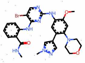 CNC(=O)c1ccccc1Nc1nc(Nc2cc(-c3cnn(C)c3)c(N3CCOCC3)cc2OC)ncc1Br